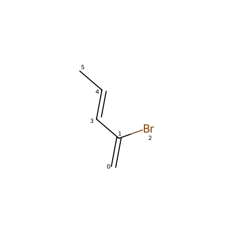 C=C(Br)/C=C/C